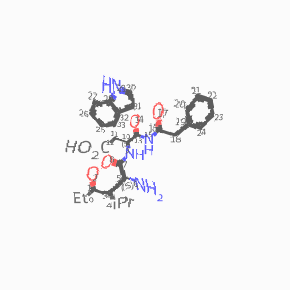 CCC(=O)C(C(C)C)[C@H](N)C(=O)N[C@@H](CC(=O)O)C(=O)NC(=O)Cc1ccccc1.c1ccc2[nH]ccc2c1